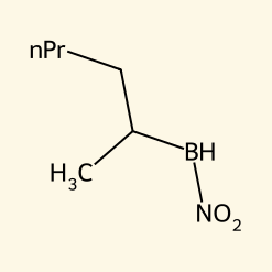 CCCCC(C)B[N+](=O)[O-]